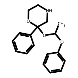 CC(Oc1ccccc1)OC1(c2ccccc2)CNCCO1